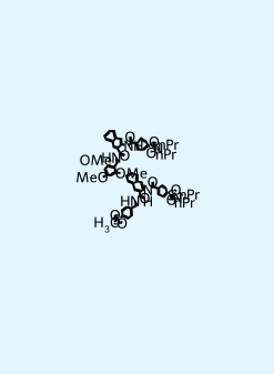 CCCN(CCC)S(=O)(=O)c1ccc(C(=O)Nc2cc3ccccc3cc2C(=O)NCc2c(OC)cc(OC)cc2OC)cc1.CCCN(CCC)S(=O)(=O)c1ccc(C(=O)Nc2cc3ccccc3cc2C(=O)NCc2ccc(S(C)(=O)=O)cc2)cc1